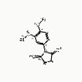 CCOc1ccc(N2C(=O)CCC2=O)cc1OCC